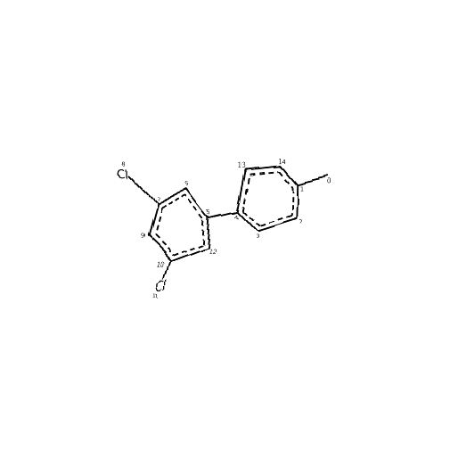 Cc1ccc(-c2cc(Cl)cc(Cl)c2)cc1